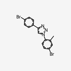 Cc1cc(Br)ccc1-n1cc(-c2ccc(Br)cc2)nn1